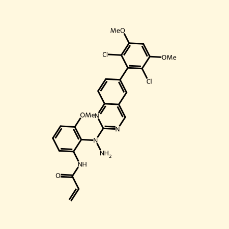 C=CC(=O)Nc1cccc(OC)c1N(N)c1ncc2cc(-c3c(Cl)c(OC)cc(OC)c3Cl)ccc2n1